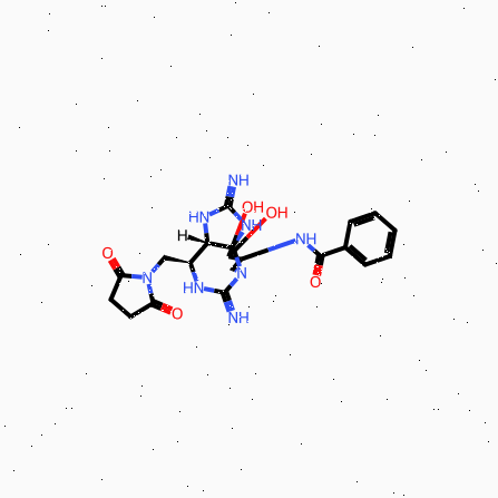 N=C1N[C@H]2[C@H](CN3C(=O)CCC3=O)NC(=N)N3CC(NC(=O)c4ccccc4)C(O)(O)[C@]23N1